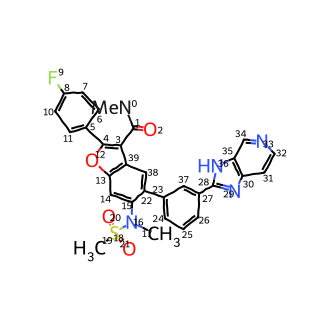 CNC(=O)c1c(-c2ccc(F)cc2)oc2cc(N(C)S(C)(=O)=O)c(-c3cccc(-c4nc5ccncc5[nH]4)c3)cc12